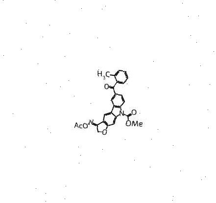 COC(=O)n1c2ccc(C(=O)c3ccccc3C)cc2c2cc3c(cc21)OC/C3=N\OC(C)=O